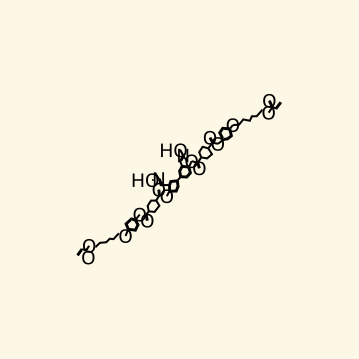 C=CC(=O)OCCCCCCOc1ccc(OC(=O)C2CCC(C(=O)Oc3ccc(-c4ccc(OC(=O)C5CCC(C(=O)Oc6ccc(OCCCCCCOC(=O)C=C)cc6)CC5)c(/C=N/O)c4)cc3/C=N/O)CC2)cc1